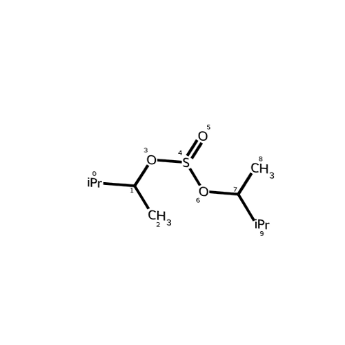 CC(C)C(C)OS(=O)OC(C)C(C)C